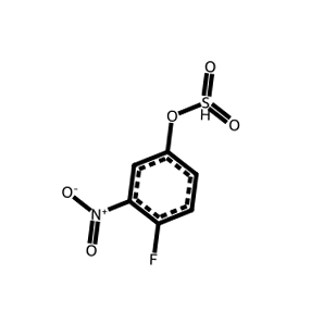 O=[N+]([O-])c1cc(O[SH](=O)=O)ccc1F